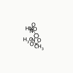 C[C@H]1COc2ccc(-c3n[nH]c(=O)o3)cc2N(C)C1=O